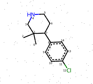 CC1(C)CNCC[C]1c1ccc(Cl)cc1